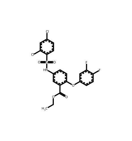 CCOC(=O)c1cc(NS(=O)(=O)c2ccc(Cl)cc2Cl)ccc1Oc1ccc(F)c(F)c1